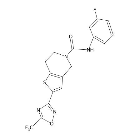 O=C(Nc1cccc(F)c1)N1CCc2sc(-c3noc(C(F)(F)F)n3)cc2C1